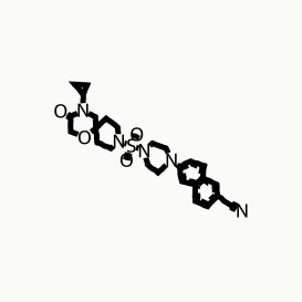 N#Cc1ccc2cc(N3CCN(S(=O)(=O)N4CCC5(CC4)CN(C4CC4)C(=O)CO5)CC3)ccc2c1